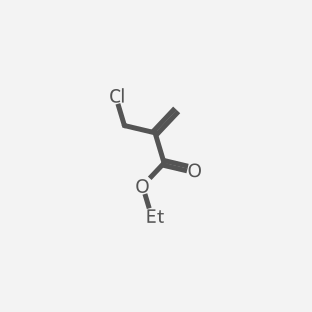 C=C(CCl)C(=O)OCC